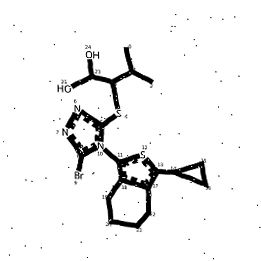 CC(C)C(Sc1nnc(Br)n1-c1sc(C2CC2)c2c1CCCC2)C(O)O